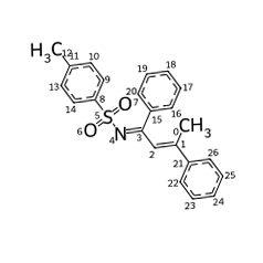 C/C(=C\C(=N\S(=O)(=O)c1ccc(C)cc1)c1ccccc1)c1ccccc1